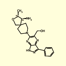 C[C@@H]1OCC2(CCN(c3nc4[nH]nc(-c5ccccc5)c4nc3CO)CC2)[C@@H]1N